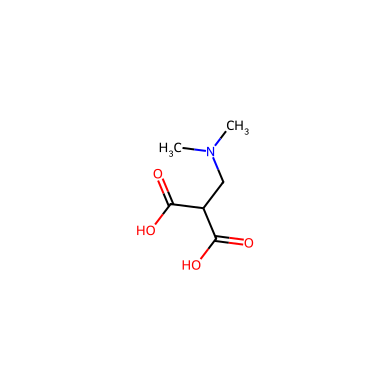 CN(C)CC(C(=O)O)C(=O)O